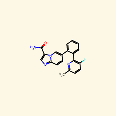 Cc1ccc(F)c(-c2ccccc2-c2ccc3ncc(C(N)=O)n3c2)n1